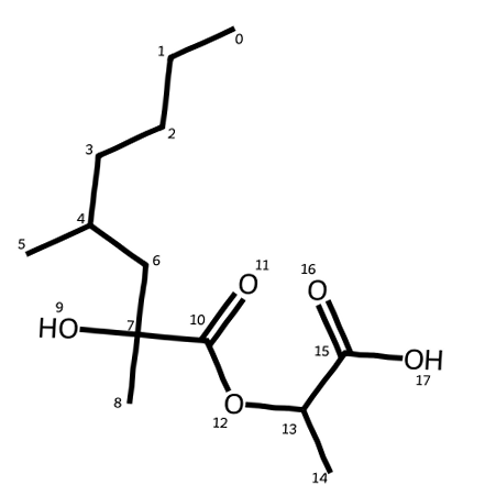 CCCCC(C)CC(C)(O)C(=O)OC(C)C(=O)O